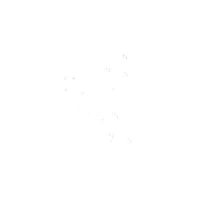 N#Cc1nccc(Oc2c(C3CCC3)ccc(-c3cnc(N)cn3)c2F)n1